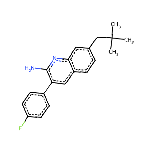 CC(C)(C)Cc1ccc2cc(-c3ccc(F)cc3)c(N)nc2c1